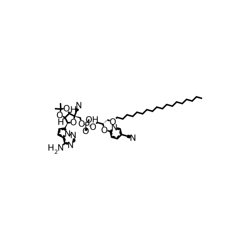 CCCCCCCCCCCCCCCCCCOC[C@@H](COP(=O)(O)OC[C@@]1(C#N)O[C@@H](c2ccc3c(N)ncnn23)[C@@H]2OC(C)(C)O[C@@H]21)Oc1ccc(C#N)cn1